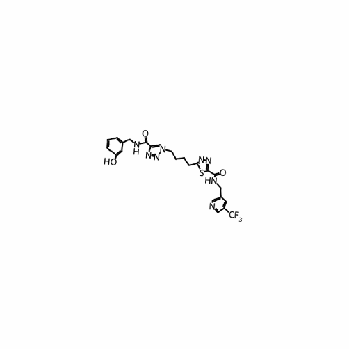 O=C(NCc1cccc(O)c1)c1cn(CCCCc2nnc(C(=O)NCc3cncc(C(F)(F)F)c3)s2)nn1